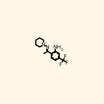 C/C(=N\N1CCCCC1)c1ccc(C(F)(F)F)cc1N